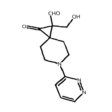 O=CC1(CO)C(=O)C12CCN(c1cc[c]nn1)CC2